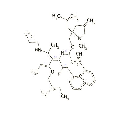 C#Cc1cccc2cccc(/C=C(F)/C(/N=C(\C)OCC3(CC(=C)C)CC(=C)CN3C)=C(\C(=C\C)OC[C@@H](C)CC)C(C)NCCC)c12